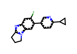 Fc1cc2nc3n(c2cc1-c1ccc(C2CC2)nc1)CCC3